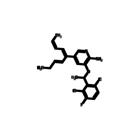 C\C=C/C=C(\C=C\CC)c1cnc(N)c(OC(C)c2c(Cl)ccc(F)c2Cl)c1